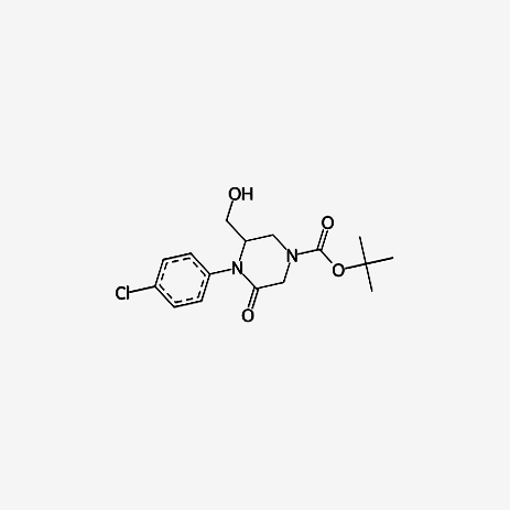 CC(C)(C)OC(=O)N1CC(=O)N(c2ccc(Cl)cc2)C(CO)C1